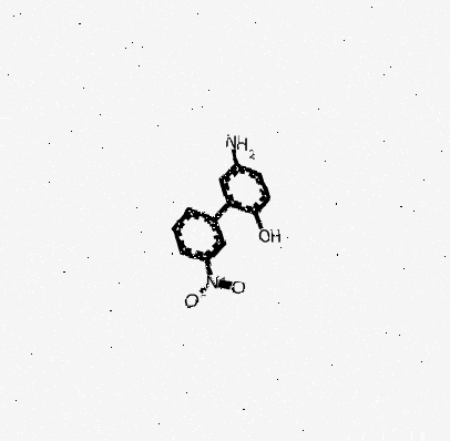 Nc1ccc(O)c(-c2cccc([N+](=O)[O-])c2)c1